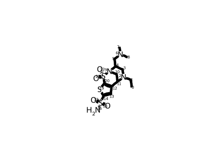 CCN1CC(CN(C)C)N2CC1c1cc(S(N)(=O)=O)sc1S2(=O)=O